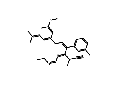 C#CC(C)C(=N\C=N/CC)/C(=C\CC(=C/C=C(C)C)/C=C(\C)OC)c1cccc(C)c1